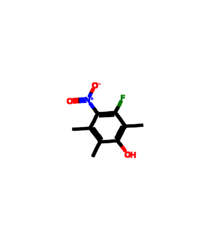 Cc1c(C)c([N+](=O)[O-])c(F)c(C)c1O